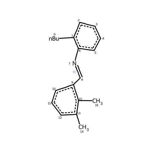 CCCCc1ccccc1/N=C/c1cccc(C)c1C